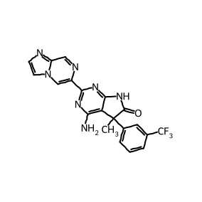 CC1(c2cccc(C(F)(F)F)c2)C(=O)Nc2nc(-c3cn4ccnc4cn3)nc(N)c21